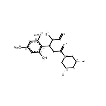 C=CC(CC)C(CC(=O)N1C[C@H](C)C[C@H](C)C1)c1c(O)cc(OC)cc1OC